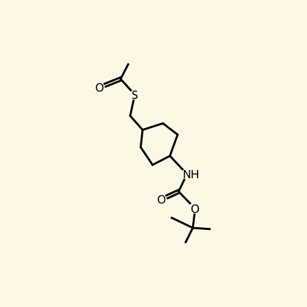 CC(=O)SCC1CCC(NC(=O)OC(C)(C)C)CC1